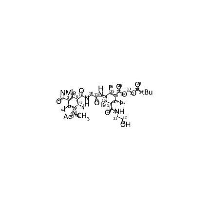 CNC(=O)c1c(I)c(C(=O)NCC(=O)Nc2c(I)c(C(=O)NCCO)c(I)c(C(=O)OCOC(=O)C(C)(C)C)c2I)c(I)c(N(C)C(C)=O)c1I